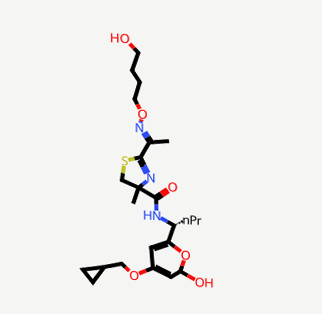 CCC[C@@H](NC(=O)C1(C)CSC(/C(C)=N/OCCCCO)=N1)C1=CC(OCC2CC2)=CC(O)O1